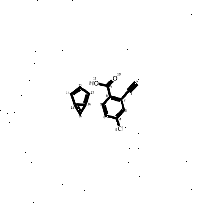 C#Cc1cc(Cl)ccc1C(=O)O.c1cc2cc-2c1